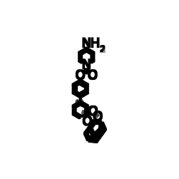 NC1CCN(C(=O)Oc2ccc([C@@H]3CCC[C@]4(C3)OOC3(O4)C4CC5CC(C4)CC3C5)cc2)CC1